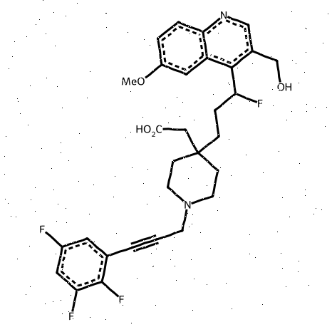 COc1ccc2ncc(CO)c(C(F)CCC3(CC(=O)O)CCN(CC#Cc4cc(F)cc(F)c4F)CC3)c2c1